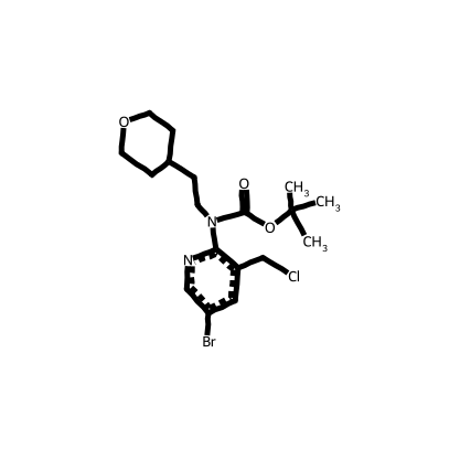 CC(C)(C)OC(=O)N(CCC1CCOCC1)c1ncc(Br)cc1CCl